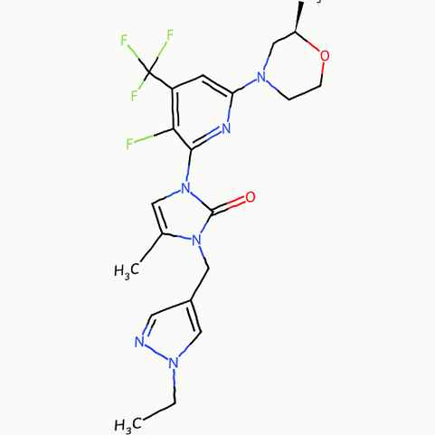 CCn1cc(Cn2c(C)cn(-c3nc(N4CCO[C@H](C)C4)cc(C(F)(F)F)c3F)c2=O)cn1